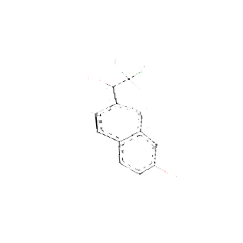 Oc1ccc2ccc(C(O)C(F)(F)F)cc2c1